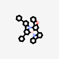 c1ccc(-c2ccc3c(c2)c2cc(-c4ccccc4)cc4c2n3-c2c3c(cc5oc6ccccc6c25)-c2cccc5c6ccccc6n(c25)B34)cc1